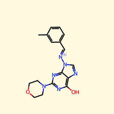 Cc1cccc(/C=N/n2cnc3c(O)nc(N4CCOCC4)nc32)c1